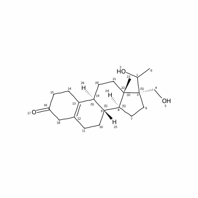 CC(O)[C@@]1(CO)CC[C@H]2[C@@H]3CCC4=C(CCC(=O)C4)[C@H]3CC[C@@]21C